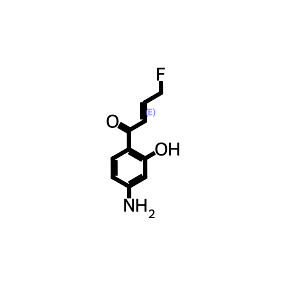 Nc1ccc(C(=O)/C=C/CF)c(O)c1